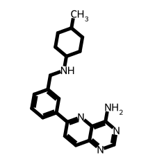 CC1CCC(NCc2cccc(-c3ccc4ncnc(N)c4n3)c2)CC1